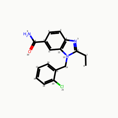 CCc1nc2ccc(C(N)=O)cc2n1Cc1ccccc1Cl